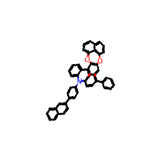 c1ccc(-c2ccc(N(c3ccc(-c4ccc5ccccc5c4)cc3)c3ccccc3-c3cccc4c3Oc3cccc5cccc(c35)O4)cc2)cc1